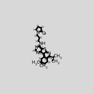 CN(C)c1nc2sc3c(NCCCN4CCCC4=O)ncnc3c2c2c1CCC(C)(C)C2